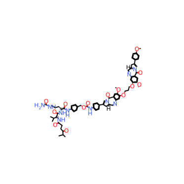 COc1ccc(C2=CN3C(=O)c4cc(OC)c(OCCCOc5cc6c(cc5OC)C(=O)N5C=C(c7ccc(NC(=O)OCc8ccc(NC(=O)[C@H](CCCNC(N)=O)NC(=O)[C@@H](NC(=O)CCC(=O)C(C)C)C(C)C)cc8)cc7)C[C@H]5C=N6)cc4N=C[C@@H]3C2)cc1